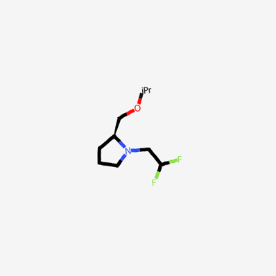 CC(C)OC[C@@H]1CCCN1CC(F)F